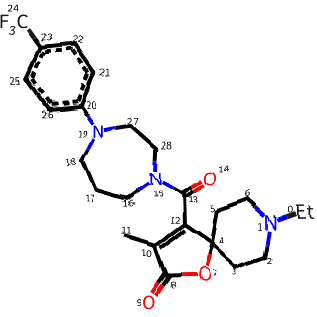 CCN1CCC2(CC1)OC(=O)C(C)=C2C(=O)N1CCCN(c2ccc(C(F)(F)F)cc2)CC1